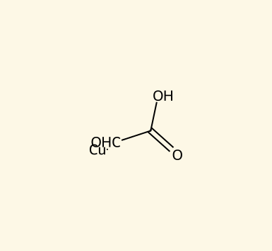 O=CC(=O)O.[Cu]